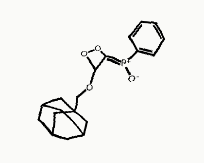 [O-]/[P+](=C1/OOC1OCC12CC3CC(CC(C3)C1)C2)c1ccccc1